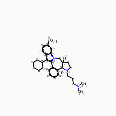 CN(C)CCCN1CC[C@H]2Cn3c(c(C4CCCCC4)c4ccc(C(=O)O)cc43)-c3ccccc3[C@@H]21